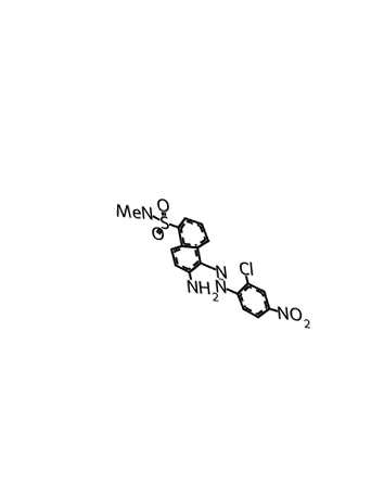 CNS(=O)(=O)c1cccc2c(N=Nc3ccc([N+](=O)[O-])cc3Cl)c(N)ccc12